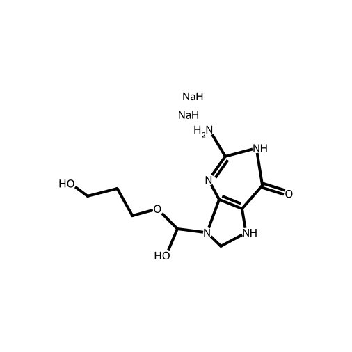 Nc1nc2c(c(=O)[nH]1)NCN2C(O)OCCCO.[NaH].[NaH]